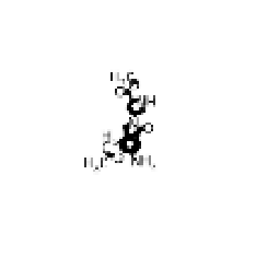 COC(=O)[C@@H]1C[C@@H](N2Cc3cc(OC(C)C)c(N)cc3C2=O)CN1